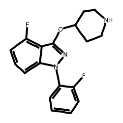 Fc1ccccc1-n1nc(OC2CCNCC2)c2c(F)cccc21